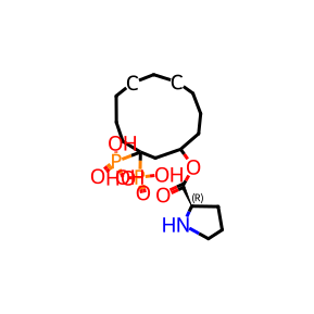 O=C(OC1CCCCCCCCCC(P(=O)(O)O)(P(=O)(O)O)C1)[C@H]1CCCN1